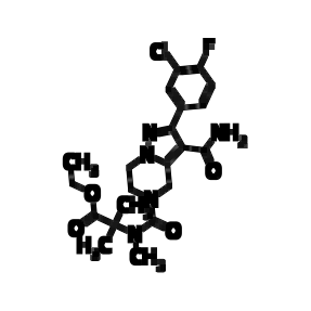 CCOC(=O)C(C)(C)N(C)C(=O)N1CCn2nc(-c3ccc(F)c(Cl)c3)c(C(N)=O)c2C1